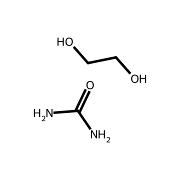 NC(N)=O.OCCO